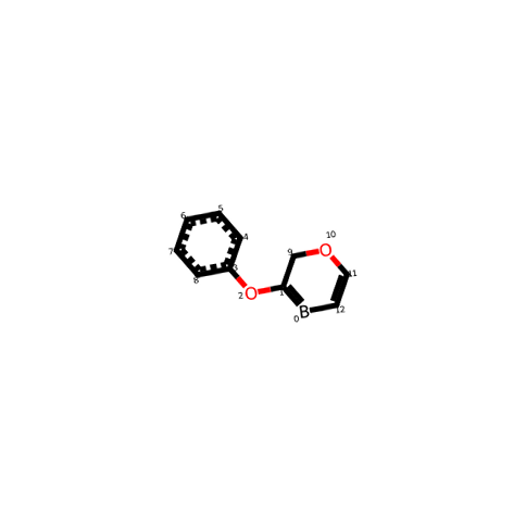 B1=C(Oc2ccccc2)COC=C1